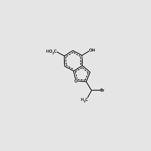 CC(Br)c1cc2c(O)cc(C(=O)O)cc2o1